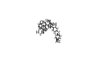 CC(=O)N1CCN(Cc2ccc(-c3nc4c(NC56C=CC(CC5C(N)=O)C6)c(Cl)cnc4[nH]3)cc2)CC1